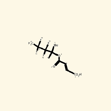 CC(C)(C)C(C)(OC(=O)C=CC(=O)O)C(F)(F)C(F)(F)C(F)(F)F